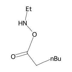 CCCCCC(=O)ONCC